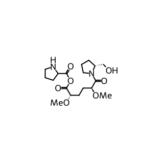 CO[C@@H](CC[C@H](OC)C(=O)N1CCC[C@@H]1CO)C(=O)OC(=O)C1CCCN1